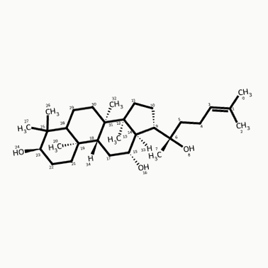 CC(C)=CCC[C@](C)(O)[C@H]1CC[C@@]2(C)[C@@H]1[C@H](O)C[C@@H]1[C@@]3(C)CC[C@@H](O)C(C)(C)C3CC[C@]12C